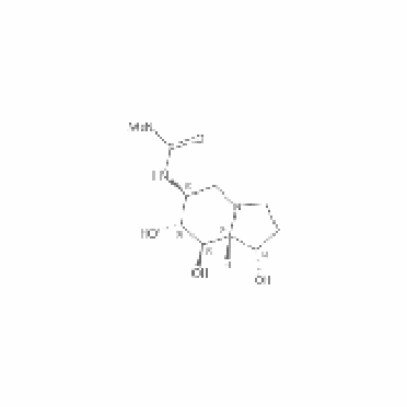 CNC(=O)N[C@H]1CN2CC[C@H](O)[C@@H]2[C@@H](O)[C@@H]1O